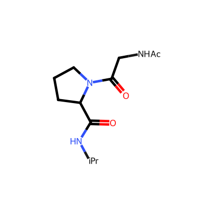 CC(=O)NCC(=O)N1CCCC1C(=O)NC(C)C